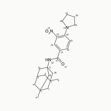 CC12CC3CC(C)(C1)CC(NC(=O)c1ccc(N4CCCC4)c([N+](=O)[O-])c1)(C3)C2